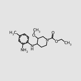 CCOC(=O)N1CCC(Nc2ccc(C)cc2N)C(OC)C1